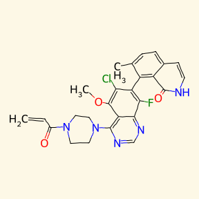 C=CC(=O)N1CCN(c2ncnc3c(F)c(-c4c(C)ccc5cc[nH]c(=O)c45)c(Cl)c(OC)c23)CC1